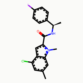 Cc1cc(Cl)c2cc(C(=O)N[C@H](C)c3ccc(I)cc3)n(C)c2c1